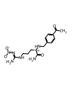 CC(=O)c1ccc(CN[C@H](CCCNC(N)=N[N+](=O)[O-])C(N)=O)cc1